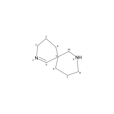 C1=NCCCC12CCCNC2